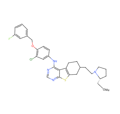 COC[C@H]1CCCN1CCC1CCc2c(sc3ncnc(Nc4ccc(OCc5cccc(F)c5)c(Cl)c4)c23)C1